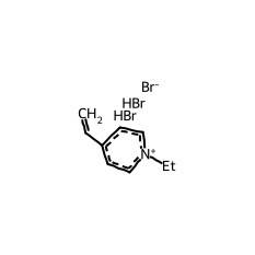 Br.Br.C=Cc1cc[n+](CC)cc1.[Br-]